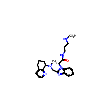 CN(Cc1nc2ccccc2n1CC(=O)NCCCNC(=O)O)C1CCCc2cccnc21